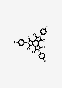 O=c1c2c3c(=O)n(-c4ccc(F)cc4)c(=O)c3c3c(=O)n(-c4ccc(F)cc4)c(=O)c3c2c(=O)n1-c1ccc(F)cc1